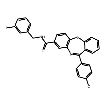 O=C(NCc1cccc(I)c1)c1ccc2c(c1)N=C(c1ccc(Cl)cc1)c1ccccc1S2